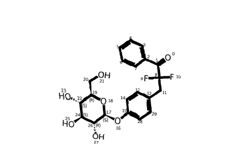 O=C(c1ccccc1)C(F)(F)Cc1ccc(O[C@@H]2O[C@H](CO)[C@@H](O)[C@H](O)[C@H]2O)cc1